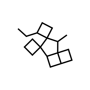 CCC1CCC12C(C)C13CCC1CC3C21CCC1